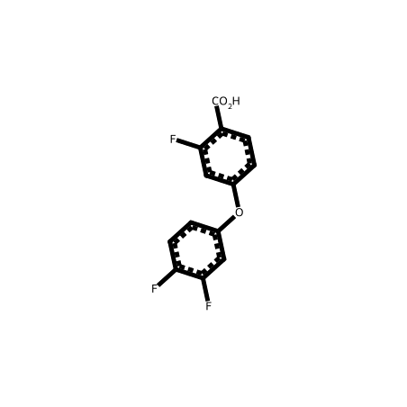 O=C(O)c1ccc(Oc2ccc(F)c(F)c2)cc1F